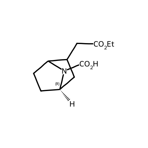 CCOC(=O)CC1C[C@H]2CCC1N2C(=O)O